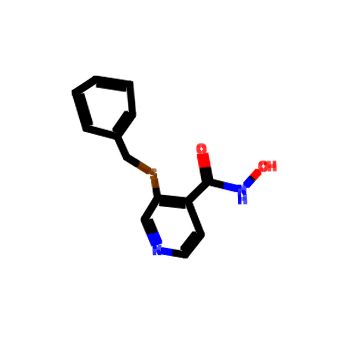 O=C(NO)c1ccncc1SCc1ccccc1